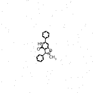 CN1Oc2cc(-c3ccccc3)[nH]c(=O)c2C1c1ccccc1